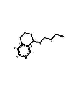 [CH2]CCCCC1CCCc2ccccc21